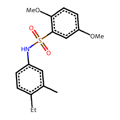 CCc1ccc(NS(=O)(=O)c2cc(OC)ccc2OC)cc1C